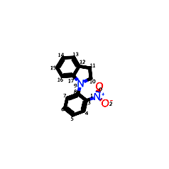 O=[N+]([O-])c1ccccc1N1CCc2ccccc21